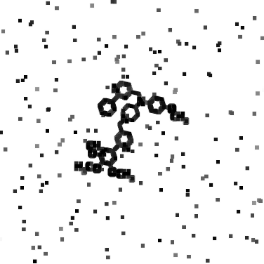 COc1ccc(N(Cc2ccnc(-c3ccccc3)c2)C2CCN(Cc3ccnc(-c4cc(OC)c(OC)c(OC)c4)c3)CC2)cc1